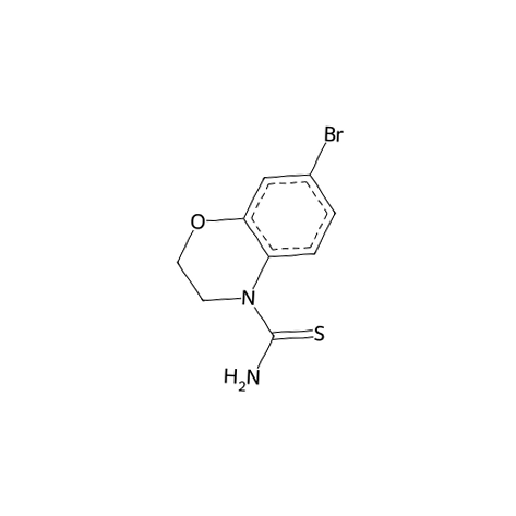 NC(=S)N1CCOc2cc(Br)ccc21